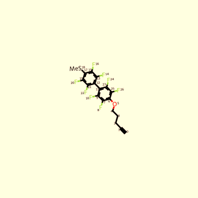 C#CCCCOc1c(F)c(F)c(-c2c(F)c(F)c(SC)c(F)c2F)c(F)c1F